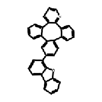 c1ccc2c(c1)-c1cc(-c3cccc4c3oc3ccccc34)ccc1-c1ccccc1-c1ncccc1-2